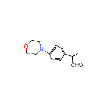 CC(C=O)c1ccc(N2CCOCC2)cc1